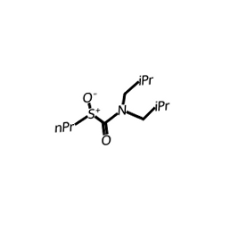 CCC[S+]([O-])C(=O)N(CC(C)C)CC(C)C